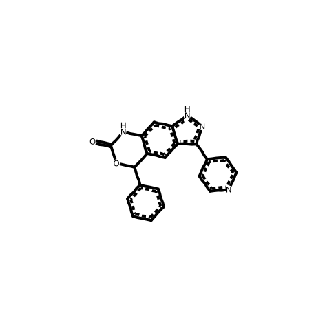 O=C1Nc2cc3[nH]nc(-c4ccncc4)c3cc2C(c2ccccc2)O1